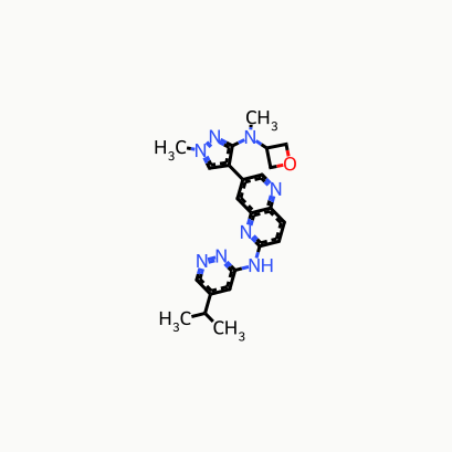 CC(C)c1cnnc(Nc2ccc3ncc(-c4cn(C)nc4N(C)C4COC4)cc3n2)c1